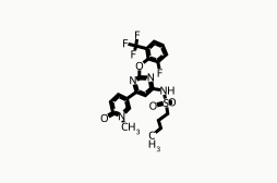 CCCCS(=O)(=O)Nc1cc(-c2ccc(=O)n(C)c2)nc(Oc2c(F)cccc2C(F)(F)F)n1